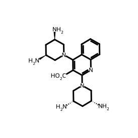 N[C@@H]1C[C@H](N)CN(c2nc3ccccc3c(N3C[C@H](N)C[C@H](N)C3)c2C(=O)O)C1